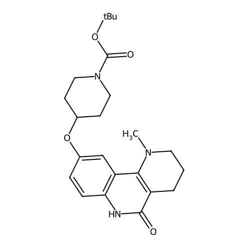 CN1CCCc2c1c1cc(OC3CCN(C(=O)OC(C)(C)C)CC3)ccc1[nH]c2=O